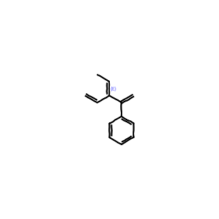 C=C/C(=C\C)C(=C)c1ccccc1